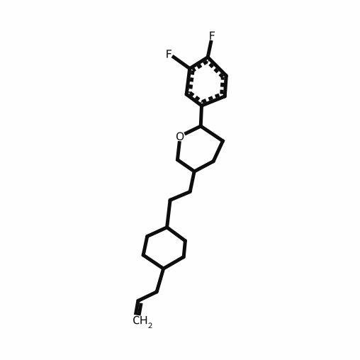 C=CCC1CCC(CCC2CCC(c3ccc(F)c(F)c3)OC2)CC1